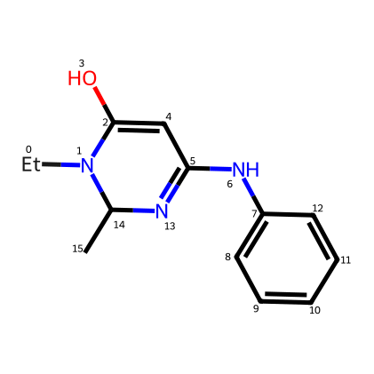 CCN1C(O)=CC(Nc2ccccc2)=NC1C